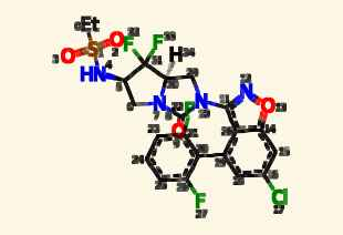 CCS(=O)(=O)N[C@@H]1CN2C(=O)N(c3noc4cc(Cl)cc(-c5c(F)cccc5F)c34)C[C@@H]2C1(F)F